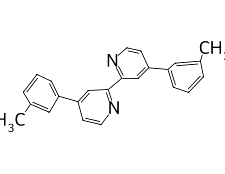 Cc1cccc(-c2ccnc(-c3cc(-c4cccc(C)c4)ccn3)c2)c1